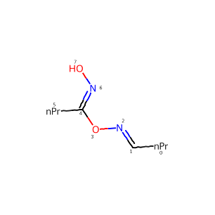 CCCC=NOC(CCC)=NO